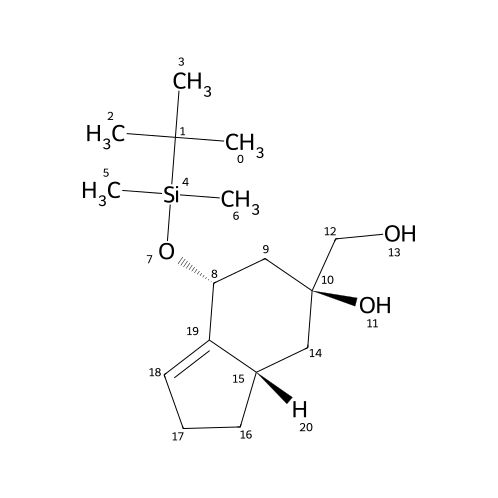 CC(C)(C)[Si](C)(C)O[C@@H]1C[C@](O)(CO)C[C@@H]2CCC=C21